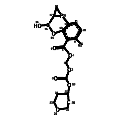 O=C(OCOC(=O)c1c(F)ccc2c1OB(O)C1CP21)OC1CCOCC1